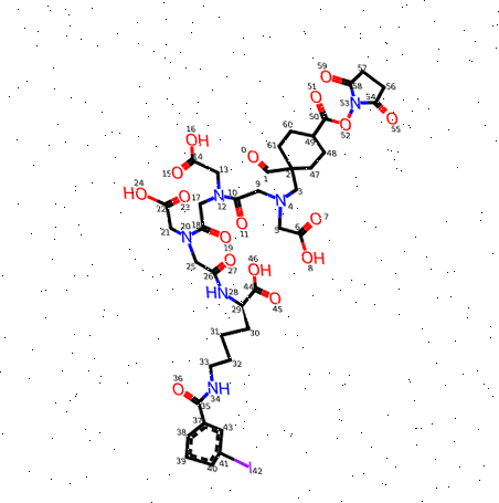 O=CC1(CN(CC(=O)O)CC(=O)N(CC(=O)O)CC(=O)N(CC(=O)O)CC(=O)N[C@H](CCCCNC(=O)c2cccc(I)c2)C(=O)O)CCC(C(=O)ON2C(=O)CCC2=O)CC1